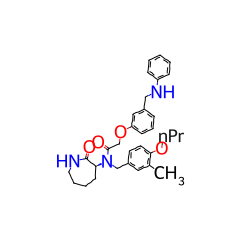 CCCOc1ccc(CN(C(=O)COc2cccc(CNc3ccccc3)c2)[C@H]2CCCCNC2=O)cc1C